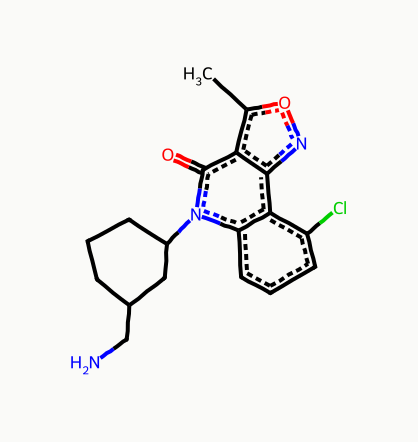 Cc1onc2c1c(=O)n(C1CCCC(CN)C1)c1cccc(Cl)c21